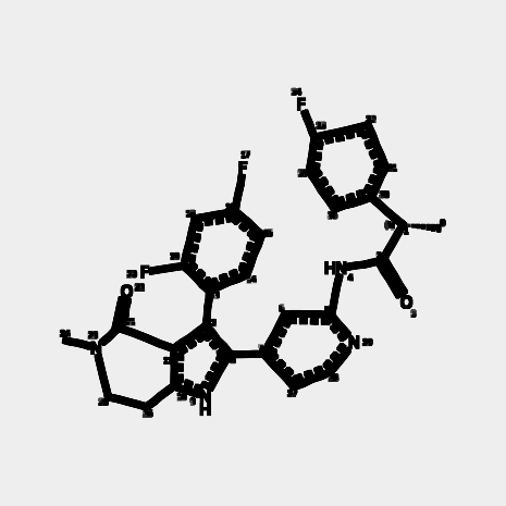 C[C@H](C(=O)Nc1cc(-c2[nH]c3c(c2-c2ccc(F)cc2F)C(=O)N(C)CC3)ccn1)c1ccc(F)cc1